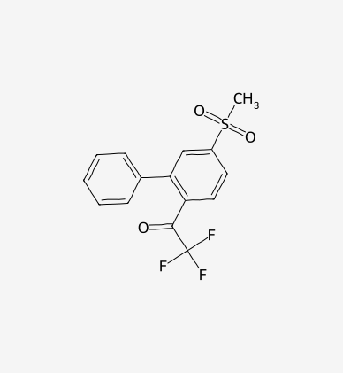 CS(=O)(=O)c1ccc(C(=O)C(F)(F)F)c(-c2ccccc2)c1